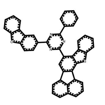 c1ccc(-c2nc(-c3ccc4oc5ccccc5c4c3)nc(-c3cc4c(c5sc6ccccc6c35)-c3cccc5cccc-4c35)n2)cc1